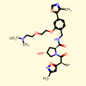 Cc1cc([C@@H](C(=O)N2C[C@H](O)C[C@H]2C(=O)NCc2ccc(-c3scnc3C)cc2OCCOCCN(C)C(=O)O)C(C)C)on1